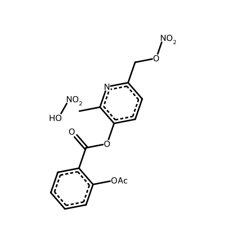 CC(=O)Oc1ccccc1C(=O)Oc1ccc(CO[N+](=O)[O-])nc1C.O=[N+]([O-])O